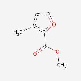 [CH2]OC(=O)c1occc1C